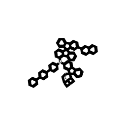 c1ccc(-c2ccc(-c3ccc(N(c4ccc5c(c4)C4(c6ccccc6-5)C5CC6CC7CC4C67C5)c4cccc5c4-c4ccccc4C54c5ccccc5-c5ccc(-c6ccc7ccccc7c6)cc54)cc3)cc2)cc1